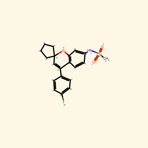 CS(=O)(=O)Nc1ccc2c(c1)OC1(C=C2c2ccc(F)cc2)CCCC1